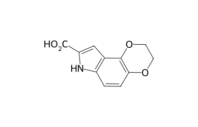 O=C(O)c1cc2c3c(ccc2[nH]1)OCCO3